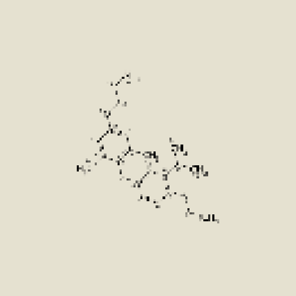 CCNc1ccc(Cc2c(C)cc(OCCN)cc2C)cc1C(C)C